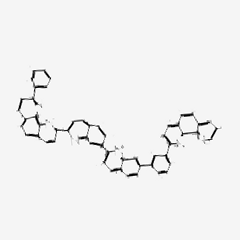 c1ccc(-c2ccc3ccc4ccc(-c5ccc6ccc(-c7ccc8ccc(-c9cccc(-c%10ccc%11ccc%12cccnc%12c%11n%10)c9)cc8n7)cc6n5)nc4c3n2)cc1